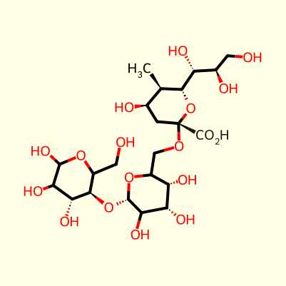 C[C@H]1[C@H]([C@H](O)[C@H](O)CO)O[C@@](OCC2O[C@@H](O[C@@H]3C(CO)OC(O)C(O)[C@H]3O)C(O)[C@@H](O)[C@H]2O)(C(=O)O)C[C@H]1O